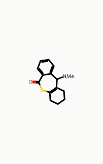 CNC1C2=C(CCCC2)SC(=O)c2ccccc21